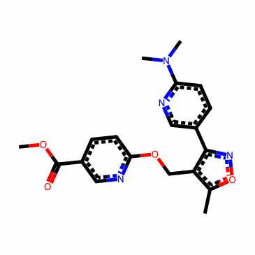 COC(=O)c1ccc(OCc2c(-c3ccc(N(C)C)nc3)noc2C)nc1